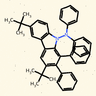 CC(C)(C)c1ccc2c(c1)c1cc(C(C)(C)C)c(-c3ccccc3)c(-c3ccccc3)c1n2N(c1ccccc1)c1ccccc1